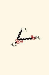 C=CC(=O)OC(CCCCCCCC)C(O)CCCCCCCCC(=O)OC